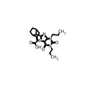 CCCn1c(=O)c2[nH]c(C3C4CCC3C(=CC(=O)O)C4)nc2n(CCC)c1=O